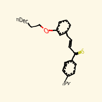 CCCCCCCCCCCCOc1cccc(C=CC(=S)c2ccc(CCC)cc2)c1